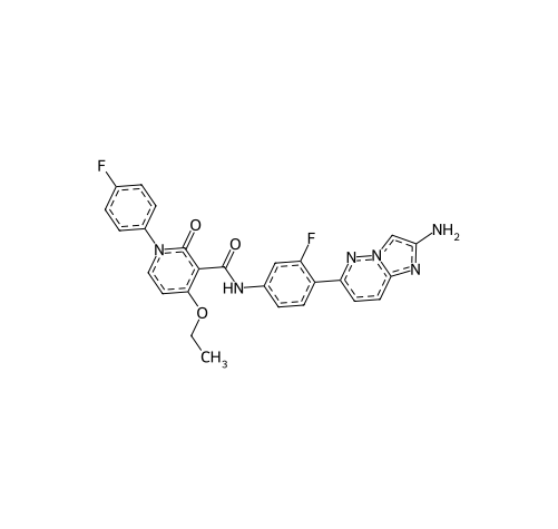 CCOc1ccn(-c2ccc(F)cc2)c(=O)c1C(=O)Nc1ccc(-c2ccc3nc(N)cn3n2)c(F)c1